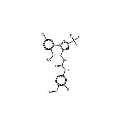 COc1ccc(Cl)cc1-n1nc(C(F)(F)F)cc1CNC(=O)Nc1ccc(CO)c(F)c1